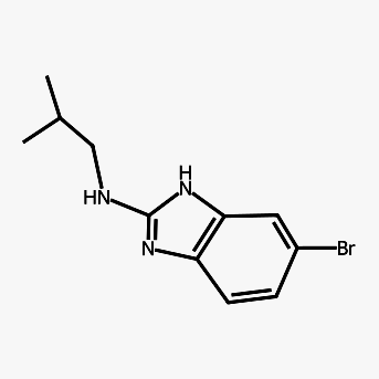 CC(C)CNc1nc2ccc(Br)cc2[nH]1